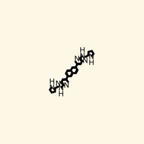 c1cc2cc(-c3cnc4[nH]c(C5CCCN5)nc4c3)ccc2cc1-c1cnc2[nH]c(C3CCCN3)nc2c1